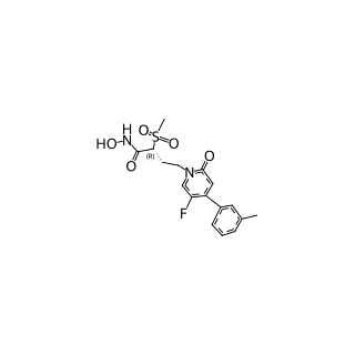 Cc1cccc(-c2cc(=O)n(CC[C@H](C(=O)NO)S(C)(=O)=O)cc2F)c1